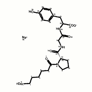 CCCCCCCCCCCCCCCC(=O)N1CCC[C@H]1C(=O)NCC(=O)NC(Cc1ccc(O)cc1)C(=O)[O-].[Na+]